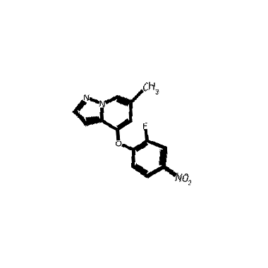 Cc1cc(Oc2ccc([N+](=O)[O-])cc2F)c2ccnn2c1